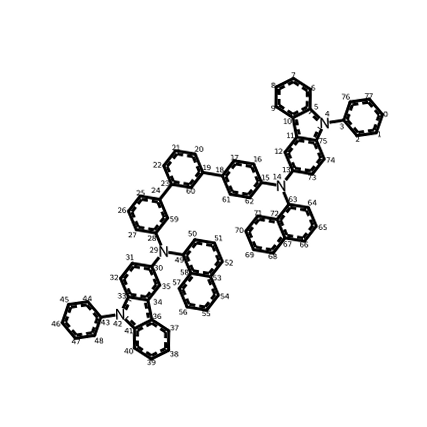 c1ccc(-n2c3ccccc3c3cc(N(c4ccc(-c5cccc(-c6cccc(N(c7ccc8c(c7)c7ccccc7n8-c7ccccc7)c7cccc8ccccc78)c6)c5)cc4)c4cccc5ccccc45)ccc32)cc1